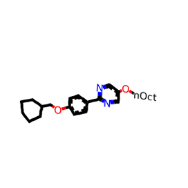 CCCCCCCCOc1cnc(-c2ccc(OCC3CCCCC3)cc2)nc1